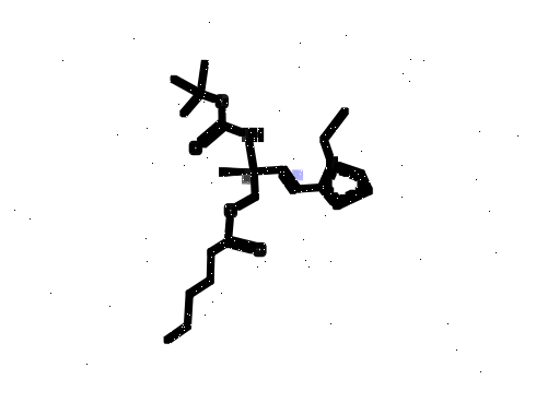 CCCCCC(=O)OC[C@@](C)(/C=C/c1cccn1CC)NC(=O)OC(C)(C)C